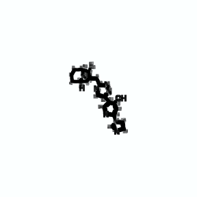 C[C@]12CCC[C@H](C/C(=C\c3ncc(-c4cnc(-n5ccnc5)cc4O)nn3)[C@@H]1F)N2